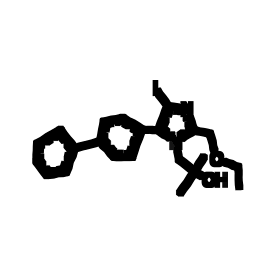 CCOCc1nc(I)c(-c2ccc(-c3ccccc3)cc2)n1CC(C)(C)O